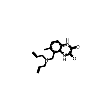 C=CCN(CC=C)Cc1c(C)ccc2[nH]c(=O)c(=O)[nH]c12